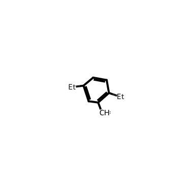 [CH]c1cc(CC)ccc1CC